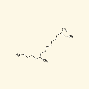 CCCCCC(C)CCCCCCCC(C)CO